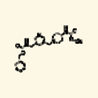 CC(C)(C)OC(=O)NC1CCN(Cc2cncc(CNC(=O)OCc3ccccc3)c2)CC1